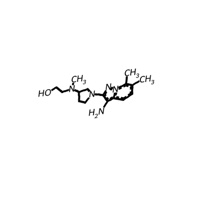 Cc1ccc2c(N)c(N3CCC(N(C)CCO)C3)nn2c1C